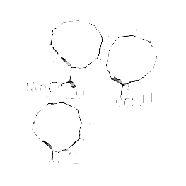 COC(=O)C1=CCCCCCCCC1.O=C(O)C1=CCCCCCCCC1.O=C(O)C1=CCCCCCCCC1